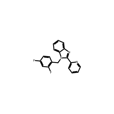 Fc1ccc(Cn2c(-c3ccccn3)nc3ccccc32)c(F)c1